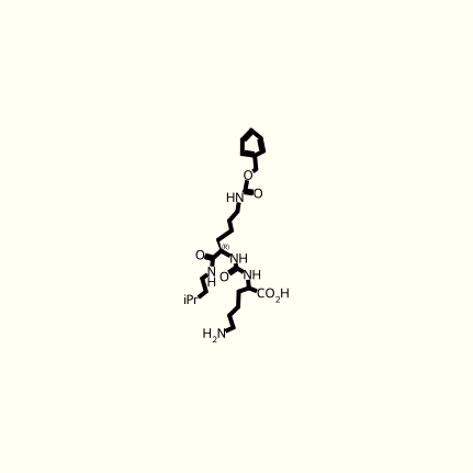 CC(C)CCNC(=O)[C@@H](CCCCNC(=O)OCc1ccccc1)NC(=O)NC(CCCCN)C(=O)O